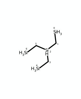 [SiH3]C[SiH](C[SiH3])C[SiH3]